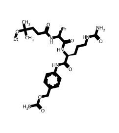 BC(=O)OCc1ccc(NC(=O)[C@H](CCCNC(N)=O)NC(=O)C(NC(=O)CCC(C)(C)OCC)C(C)C)cc1